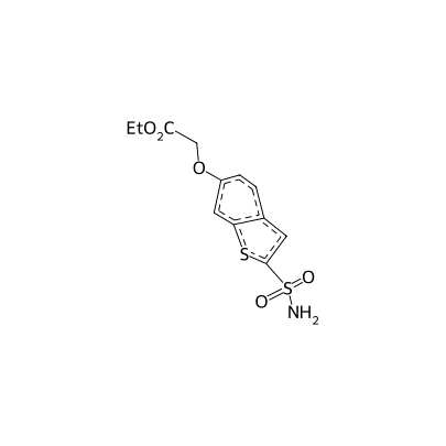 CCOC(=O)COc1ccc2cc(S(N)(=O)=O)sc2c1